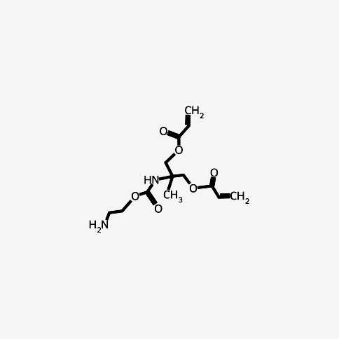 C=CC(=O)OCC(C)(COC(=O)C=C)NC(=O)OCCN